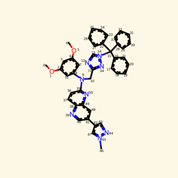 COc1cc(OC)cc(N(Cc2ncn(C(c3ccccc3)(c3ccccc3)c3ccccc3)n2)c2ccc3ncc(-c4cnn(C)c4)cc3n2)c1